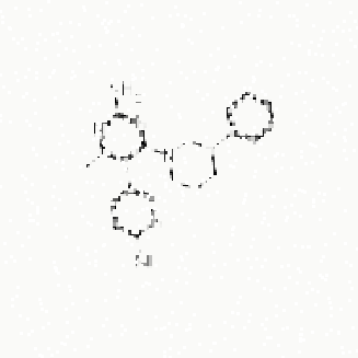 Cc1nc(N)nc(N2CCCC(c3ccccc3)C2)c1-c1ccc(N)nc1